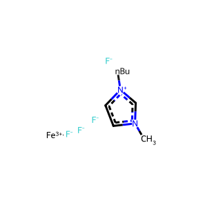 CCCC[n+]1ccn(C)c1.[F-].[F-].[F-].[F-].[Fe+3]